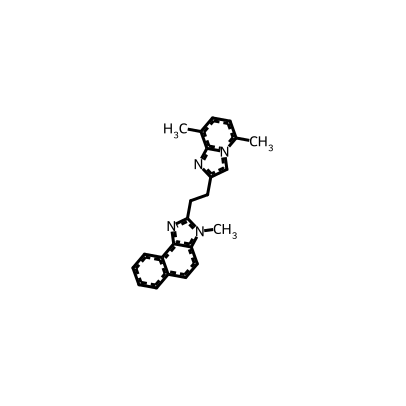 Cc1ccc(C)n2cc(CCc3nc4c5ccccc5ccc4n3C)nc12